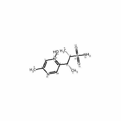 Cc1c[n+](O)c([C@@H](C)[C@H](C)S(N)(=O)=O)cn1